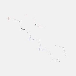 O=C(O)C[C@H](NC(=S)Nc1ccccc1)C(=O)O